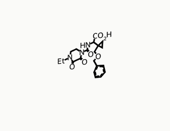 CCN1CCN(C(=O)NC(C(=O)O)C2(COCc3ccccc3)CC2)C(=O)C1=O